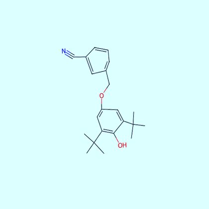 CC(C)(C)c1cc(OCc2cccc(C#N)c2)cc(C(C)(C)C)c1O